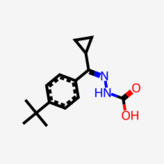 CC(C)(C)c1ccc(/C(=N\NC(=O)O)C2CC2)cc1